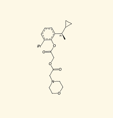 CC(C)c1cccc([C@H](C)C2CC2)c1OC(=O)COC(=O)CN1CCOCC1